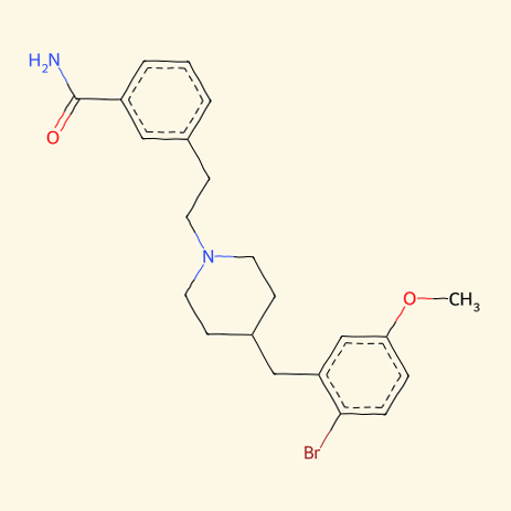 COc1ccc(Br)c(CC2CCN(CCc3cccc(C(N)=O)c3)CC2)c1